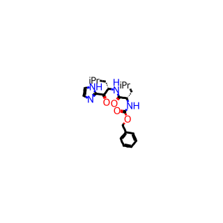 CC(C)C[C@H](NC(=O)OCc1ccccc1)C(=O)N[C@@H](CC(C)C)C(=O)c1ncc[nH]1